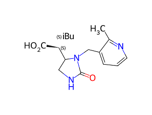 CC[C@H](C)[C@H](C(=O)O)C1CNC(=O)N1Cc1cccnc1C